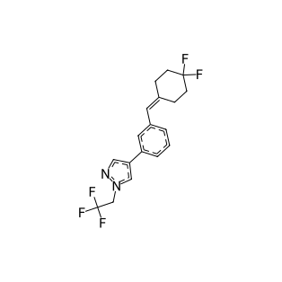 FC(F)(F)Cn1cc(-c2cccc(C=C3CCC(F)(F)CC3)c2)cn1